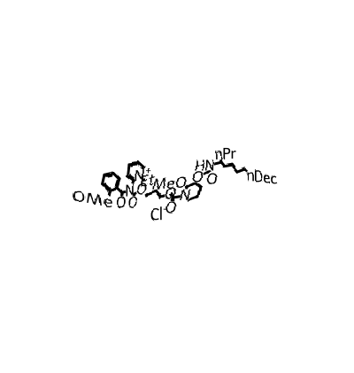 CCCCCCCCCCCCCCC(CCC)NC(=O)OC1CCCN(C(=O)OCCCOC(=O)N(C(=O)c2ccccc2OC)c2cccc[n+]2CC)C1OC.[Cl-]